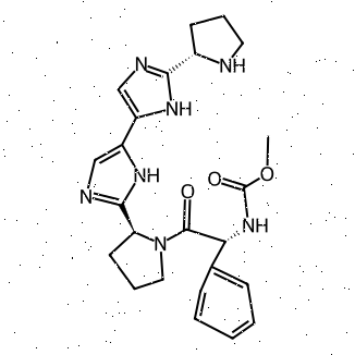 COC(=O)N[C@@H](C(=O)N1CCC[C@H]1c1ncc(-c2cnc([C@@H]3CCCN3)[nH]2)[nH]1)c1ccccc1